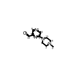 CN1CCN(c2cncc(C=O)n2)CC1